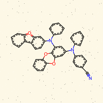 N#Cc1ccc(N(c2ccccc2)c2cc3c(c(N(c4ccccc4)c4ccc5c(c4)oc4ccccc45)c2)Oc2ccccc2O3)cc1